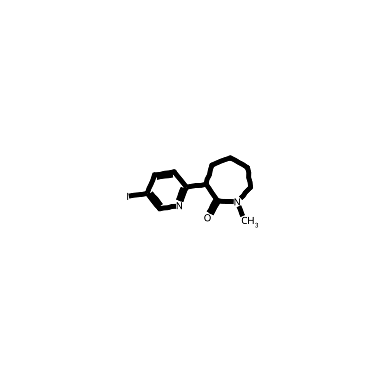 CN1CCCCC(c2ccc(I)cn2)C1=O